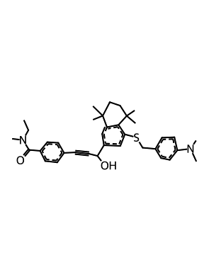 CCN(C)C(=O)c1ccc(C#CC(O)c2cc(SCc3ccc(N(C)C)cc3)c3c(c2)C(C)(C)CCC3(C)C)cc1